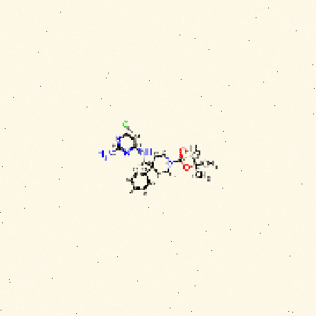 CC(C)(C)OC(=O)N1CCC(CNc2cc(Cl)nc(N)n2)(c2ccccc2)CC1